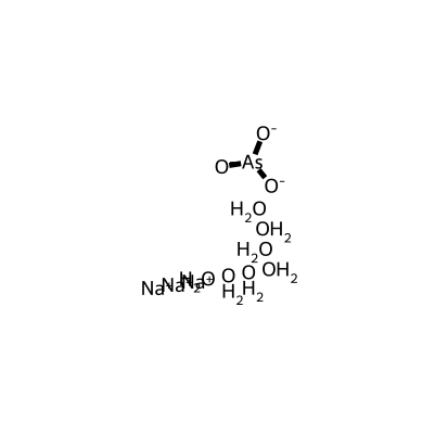 O.O.O.O.O.O.O.[Na+].[Na+].[Na+].[O-][As]([O-])[O-]